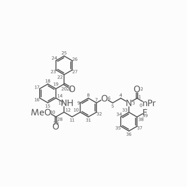 CCCC(=O)N(CCOc1ccc(CC(Nc2ccccc2C(=O)c2ccccc2)C(=O)OC)cc1)c1ccccc1F